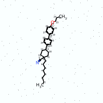 CCCCCCCCC1(C#N)CCC(c2ccc(-c3ccc(OCCC)cc3)cc2)CC1